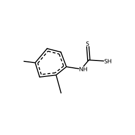 Cc1ccc(NC(=S)S)c(C)c1